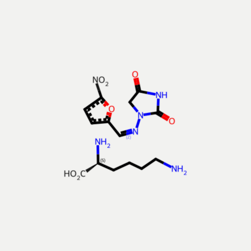 NCCCC[C@H](N)C(=O)O.O=C1CN(/N=C\c2ccc([N+](=O)[O-])o2)C(=O)N1